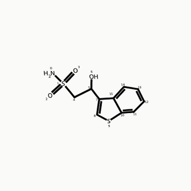 NS(=O)(=O)CC(O)c1csc2ccccc12